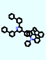 c1ccc(-c2cccc(-c3cc(-c4cccc(-c5cccc6c5C5(c7ccccc7-6)c6ccccc6N(c6ccccc6)c6ccccc65)c4)cc(-c4cccc(-c5ccccc5)c4)n3)c2)cc1